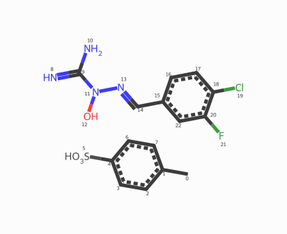 Cc1ccc(S(=O)(=O)O)cc1.N=C(N)N(O)N=Cc1ccc(Cl)c(F)c1